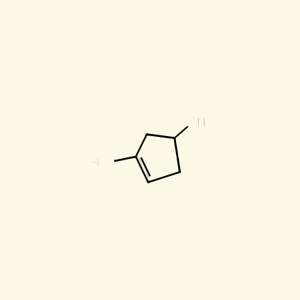 [CH2]C1=CCC(C)C1